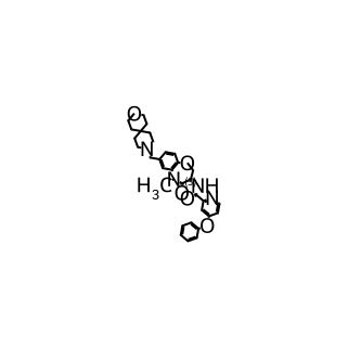 CN1C(=O)[C@@H](NC(=O)c2cc(Oc3ccccc3)ccn2)COc2ccc(CN3CCC4(CCOCC4)CC3)cc21